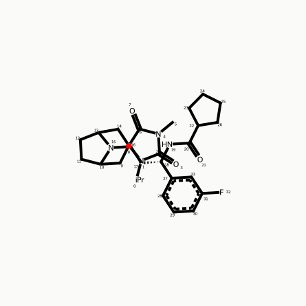 CC(C)N1C(=O)N(C)C(=O)C12CC1CCC(C2)N1CC[C@H](NC(=O)C1CCCC1)c1cccc(F)c1